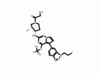 [2H]C([2H])([2H])Oc1nc(N[C@H]2CCN(C(=O)CO)C[C@H]2F)nn2ccc(-c3ccc4nnn(CCF)c4c3)c12